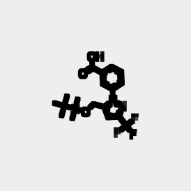 CC(C)(C)[Si](C)(C)OCc1cc(C(F)(F)F)nn1-c1cccc(C(=O)O)c1